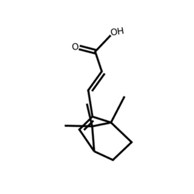 CC12CCC(C=C1C=CC(=O)O)C2(C)C